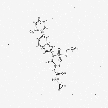 COCCS(=O)(=O)C(C(=O)NCC(=O)NC1CC1)c1nc2cc(-c3ccncc3Cl)ccc2s1